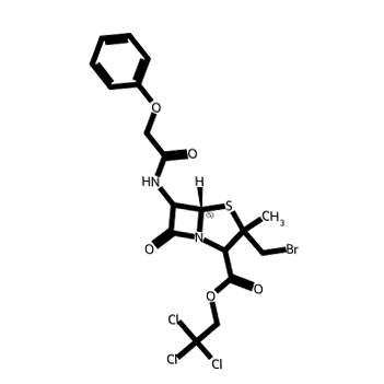 CC1(CBr)S[C@H]2C(NC(=O)COc3ccccc3)C(=O)N2C1C(=O)OCC(Cl)(Cl)Cl